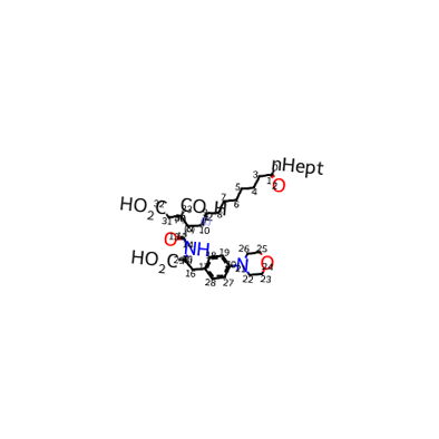 CCCCCCCC(=O)CCCCCC/C=C/[C@H](C(=O)N[C@@H](Cc1ccc(N2CCOCC2)cc1)C(=O)O)[C@@H](CC(=O)O)C(=O)O